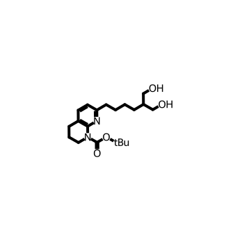 CC(C)(C)OC(=O)N1CCCc2ccc(CCCCC(CO)CO)nc21